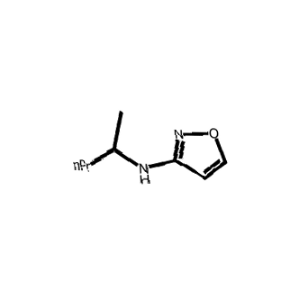 CCCC(C)Nc1ccon1